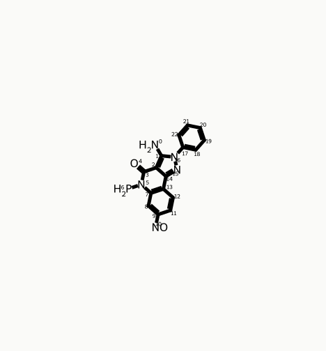 Nc1c2c(=O)n(P)c3cc(N=O)ccc3c2nn1-c1ccccc1